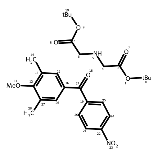 CC(C)(C)OC(=O)CNCC(=O)OC(C)(C)C.COc1c(C)cc(C(=O)c2ccc([N+](=O)[O-])cc2)cc1C